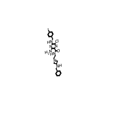 Nc1nc(NCc2ccc(I)cc2)c(Cl)nc1C(=O)NCCN1CC(NCc2ccccc2)C1